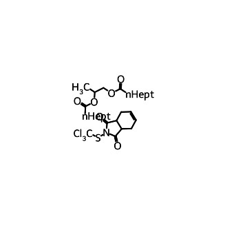 CCCCCCCC(=O)OCC(C)OC(=O)CCCCCCC.O=C1C2CC=CCC2C(=O)N1SC(Cl)(Cl)Cl